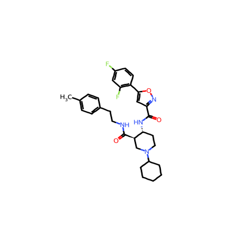 Cc1ccc(CCNC(=O)[C@@H]2CN(C3CCCCC3)CC[C@H]2NC(=O)c2cc(-c3ccc(F)cc3F)on2)cc1